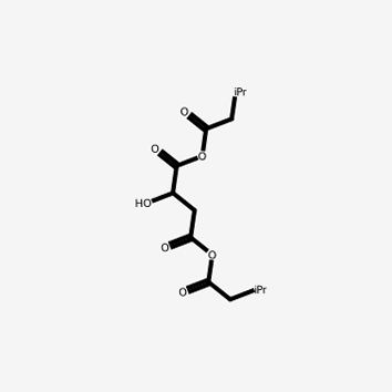 CC(C)CC(=O)OC(=O)CC(O)C(=O)OC(=O)CC(C)C